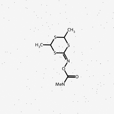 CNC(=O)ON=C1SC(C)SC(C)S1